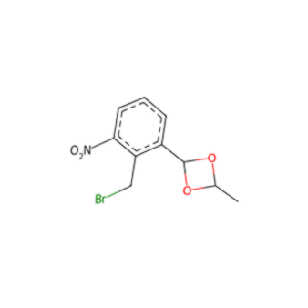 CC1OC(c2cccc([N+](=O)[O-])c2CBr)O1